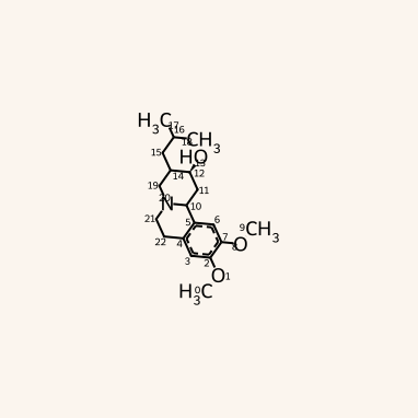 COc1cc2c(cc1OC)C1C[C@H](O)C(CC(C)C)CN1CC2